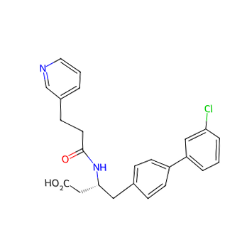 O=C(O)C[C@@H](Cc1ccc(-c2cccc(Cl)c2)cc1)NC(=O)CCc1cccnc1